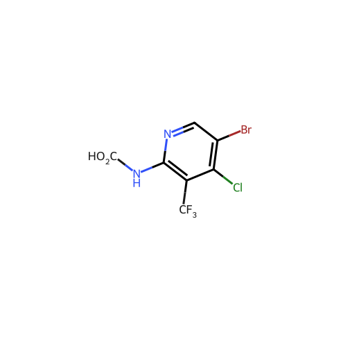 O=C(O)Nc1ncc(Br)c(Cl)c1C(F)(F)F